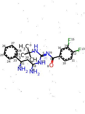 CC(C)(C)N/C(=N/C(=O)c1ccc(F)c(F)c1)NC(N)CC(N)c1ccccc1